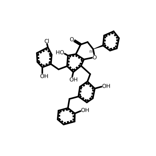 O=C1C[C@@H](c2ccccc2)Oc2c(Cc3cc(Cc4ccccc4O)ccc3O)c(O)c(Cc3cc(Cl)ccc3O)c(O)c21